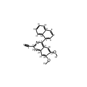 C#Cc1nc(-c2cccc3ccccc23)c2cc(OC)c(OC)cc2n1